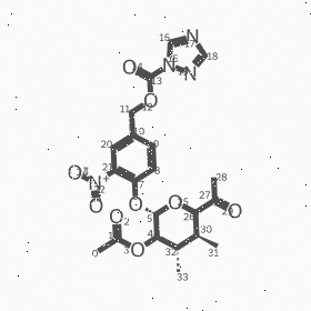 CC(=O)OC1[C@H](Oc2ccc(COC(=O)n3cncn3)cc2[N+](=O)[O-])OC(C(C)=O)[C@@H](C)[C@@H]1C